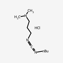 CCCCN=C=NCCCN(C)C.Cl